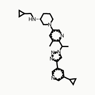 Cc1cc(N2CCC[C@@H](NCC3CC3)C2)cnc1C(C)n1cc(-c2cncc(C3CC3)c2)nn1